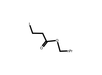 CCCCOC(=O)CCI